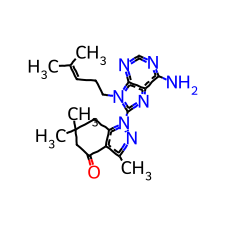 CC(C)=CCCn1c(-n2nc(C)c3c2CC(C)(C)CC3=O)nc2c(N)ncnc21